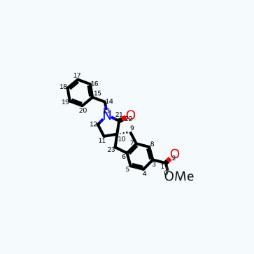 COC(=O)c1ccc2c(c1)C[C@@]1(CCN(Cc3ccccc3)C1=O)C2